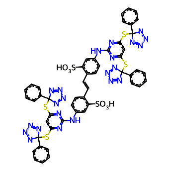 O=S(=O)(O)c1cc(Nc2nc(SC3(c4ccccc4)N=NN=N3)cc(SC3(c4ccccc4)N=NN=N3)n2)ccc1C=Cc1ccc(Nc2nc(SC3(c4ccccc4)N=NN=N3)cc(SC3(c4ccccc4)N=NN=N3)n2)cc1S(=O)(=O)O